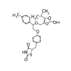 Cc1ccc(C(COc2ccc(CC3SC(=O)NC3=O)cc2)OCC2=C(C(C)C)OC(O)O2)cc1